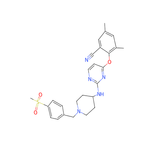 Cc1cc(C)c(Oc2ccnc(NC3CCN(Cc4ccc(S(C)(=O)=O)cc4)CC3)n2)c(C#N)c1